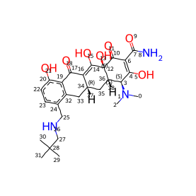 CN(C)[C@@H]1C(O)=C(C(N)=O)C(=O)[C@@]2(O)C(O)=C3C(=O)c4c(O)ccc(CNCC(C)(C)C)c4C[C@H]3C[C@@H]12